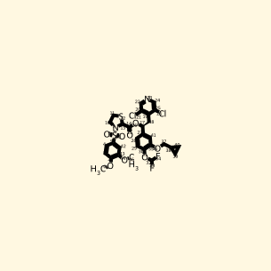 COc1ccc(S(=O)(=O)N2CCSC2C(=O)O[C@@H](Cc2c(Cl)cncc2Cl)c2ccc(OC(F)F)c(OCC3CC3)c2)cc1OC